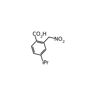 CC(C)c1ccc(C(=O)O)c(C[N+](=O)[O-])c1